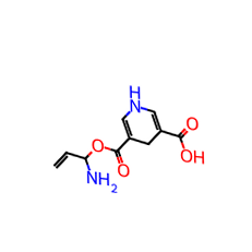 C=CC(N)OC(=O)C1=CNC=C(C(=O)O)C1